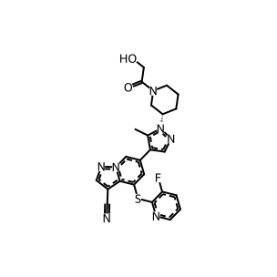 Cc1c(-c2cc(Sc3ncccc3F)c3c(C#N)cnn3c2)cnn1[C@H]1CCCN(C(=O)CO)C1